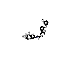 COc1cccc(Oc2cccc3c(CN(C)C(=O)/C=C/c4cnc5c(c4)NCC(C)(O)C(=O)N5)c(C)oc23)c1